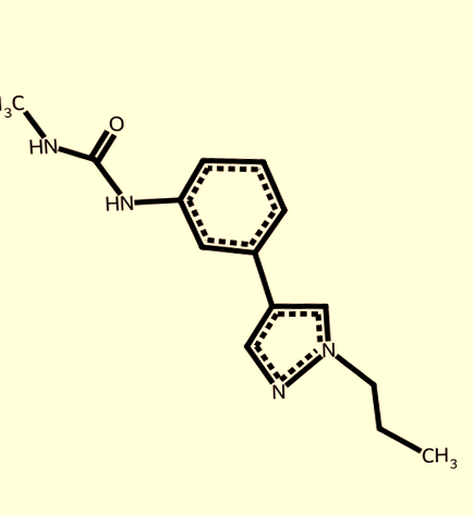 CCCn1cc(-c2cccc(NC(=O)NC)c2)cn1